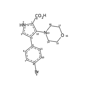 O=C(O)c1[nH]cc(-c2ccc(Br)cc2)c1N1CCOCC1